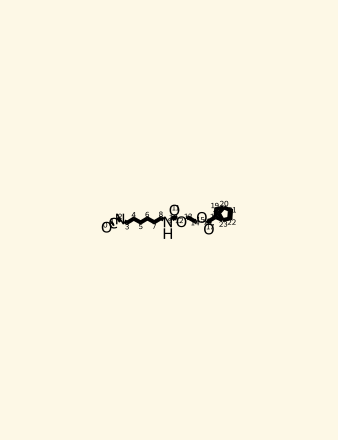 O=C=NCCCCCCNC(=O)OCCOC(=O)C1CC2C=CC1C2